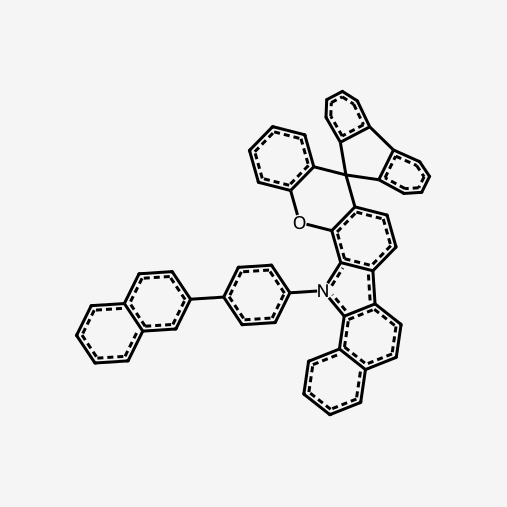 c1ccc2c(c1)Oc1c(ccc3c4ccc5ccccc5c4n(-c4ccc(-c5ccc6ccccc6c5)cc4)c13)C21c2ccccc2-c2ccccc21